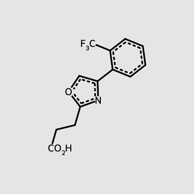 O=C(O)CCc1nc(-c2ccccc2C(F)(F)F)co1